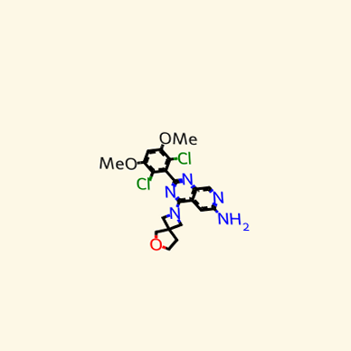 COc1cc(OC)c(Cl)c(-c2nc(N3CC4(CCOC4)C3)c3cc(N)ncc3n2)c1Cl